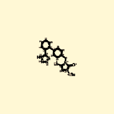 CCc1nn(C(C)(C)C)c(=O)n1Cc1ccc(-c2ccccc2-c2nnn[nH]2)cc1